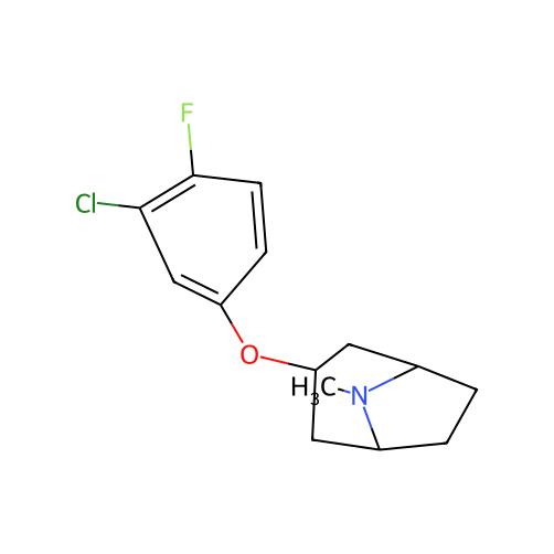 CN1C2CCC1CC(Oc1ccc(F)c(Cl)c1)C2